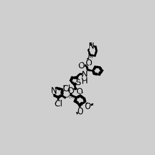 COc1ccc([C@H](Cc2c(Cl)cncc2Cl)OC(=O)c2ccc(CNC(C(=O)OC[C@H]3CCCN(C)C3)c3ccccc3)s2)cc1OC